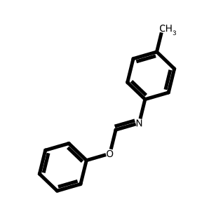 Cc1ccc(/N=C/Oc2ccccc2)cc1